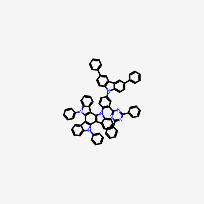 c1ccc(-c2ccc3c(c2)c2cc(-c4ccccc4)ccc2n3-c2ccc(-n3c4ccccc4c4c5c(c6ccccc6n5-c5ccccc5)c5c(c6ccccc6n5-c5ccccc5)c43)c(-c3nc(-c4ccccc4)nc(-c4ccccc4)n3)c2)cc1